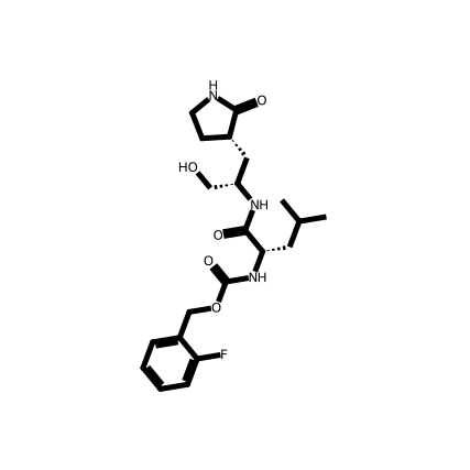 CC(C)C[C@H](NC(=O)OCc1ccccc1F)C(=O)N[C@H](CO)C[C@@H]1CCNC1=O